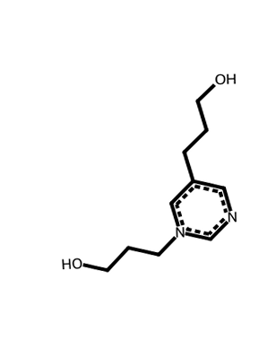 OCCCc1cnc[n+](CCCO)c1